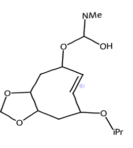 CNC(O)OC1/C=C/C(OC(C)C)CC2OCOC2C1